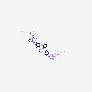 CCCN(Cc1nc2c(C)c([C@H]3CC[C@H](c4ccc5[nH]c([C@@H]6CCCN6C(=O)C(NC(=O)OC)C(C)C)nc5c4C)N3c3ccc(C(C)(C)C)cc3)ccc2[nH]1)C(=O)CNC(=O)OC